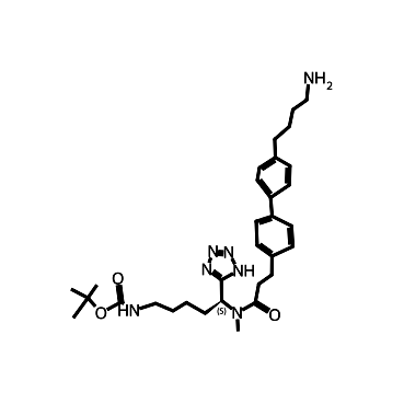 CN(C(=O)CCc1ccc(-c2ccc(CCCCN)cc2)cc1)[C@@H](CCCCNC(=O)OC(C)(C)C)c1nnn[nH]1